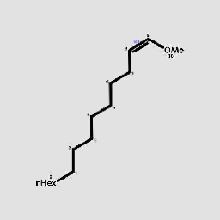 CCCCCCCCCCCCC/C=[C]\OC